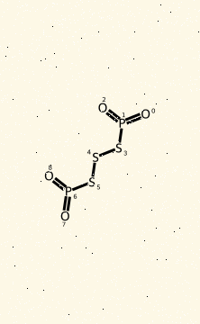 O=P(=O)SSSP(=O)=O